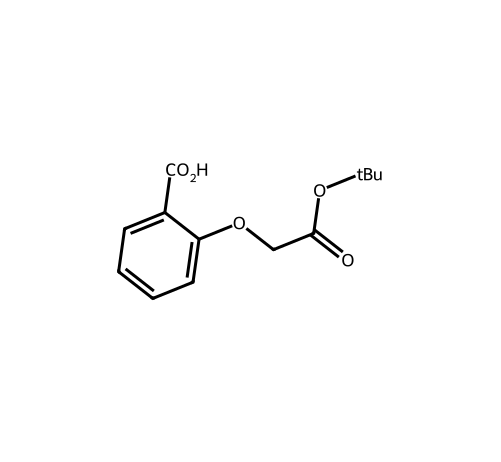 CC(C)(C)OC(=O)COc1ccccc1C(=O)O